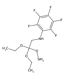 CCOC(CNc1c(F)c(F)c(F)c(F)c1F)(O[SiH3])OCC